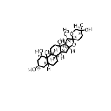 C[C@H]1[C@H]2[C@H](C[C@H]3[C@@H]4CC[C@@H]5C[C@@H](O)C[C@@H](O)[C@]5(C)[C@H]4CC[C@]23C)O[C@]12CC[C@@](C)(O)CO2